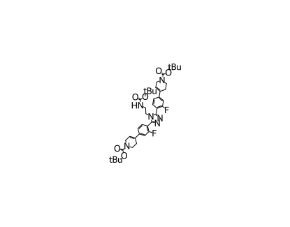 CC(C)(C)OC(=O)NCCn1c(-c2ccc(C3=CCN(C(=O)OC(C)(C)C)CC3)cc2F)nnc1-c1ccc(C2=CCN(C(=O)OC(C)(C)C)CC2)cc1F